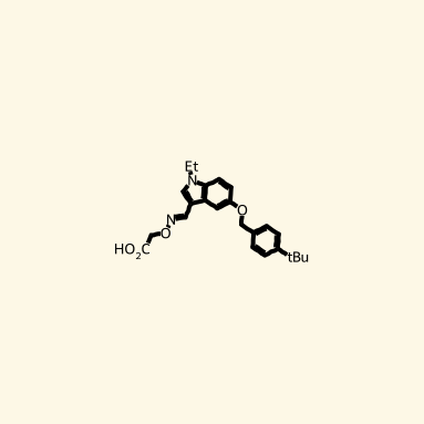 CCn1cc(C=NOCC(=O)O)c2cc(OCc3ccc(C(C)(C)C)cc3)ccc21